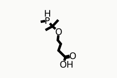 CPC(C)(C)OCCCC(=O)O